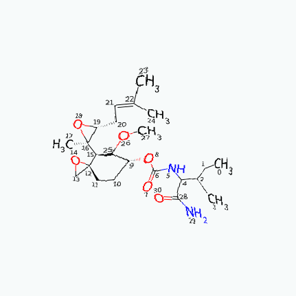 CCC(C)C(NC(=O)O[C@@H]1CC[C@]2(CO2)[C@@H]([C@@]2(C)O[C@@H]2CC=C(C)C)C1OC)C(N)=O